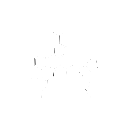 C/N=C/c1nn(CC(=O)N[C@@H](Cc2cc(F)cc(F)c2)c2ncccc2-c2ccc(F)c(C(N)=O)c2)c2c1C1CC1C2